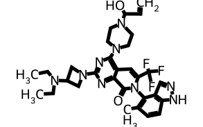 C=CC(O)N1CCN(c2nc(N3CC(N(CC)CC)C3)nc3c(=O)n(-c4c(C)ccc5[nH]ncc45)c(C(F)(F)F)cc23)CC1